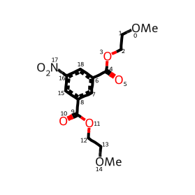 COCCOC(=O)c1cc(C(=O)OCCOC)cc([N+](=O)[O-])c1